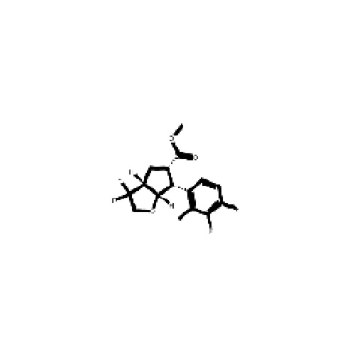 COC(=O)[C@H]1C[C@@H]2[C@@H](OCC2(F)F)[C@H]1c1ccc(F)c(F)c1C